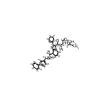 CC(C)C[C@@H](CO)NC(=O)c1c(-c2ccccn2)nc2c(C(=O)NCc3cnn(-c4ccccc4)c3)cccn12